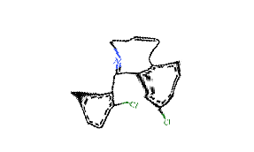 Clc1ccc2c(c1)C(c1ccccc1Cl)=NCC=C2